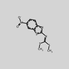 CSC(=Nc1nc2ccc([N+](=O)[O-])cc2s1)SC